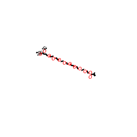 C=C(C)C(=O)OCCOCCOCCOCCOCCOCCOCCOCCOCCC[Si](C)(O[Si](C)(C)C)O[Si](C)(C)C